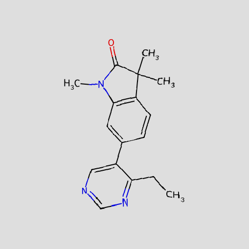 CCc1ncncc1-c1ccc2c(c1)N(C)C(=O)C2(C)C